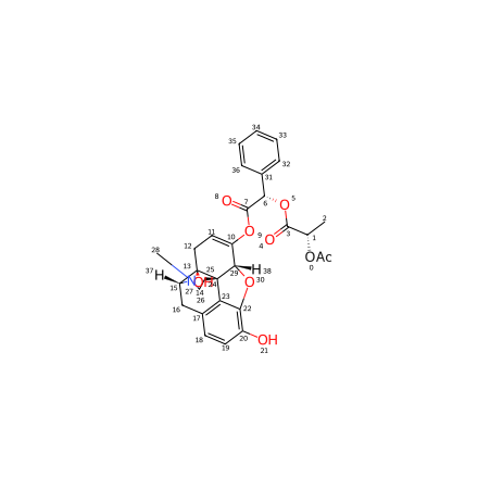 CC(=O)O[C@@H](C)C(=O)O[C@H](C(=O)OC1=CC[C@@]2(O)[C@H]3Cc4ccc(O)c5c4[C@@]2(CCN3C)[C@H]1O5)c1ccccc1